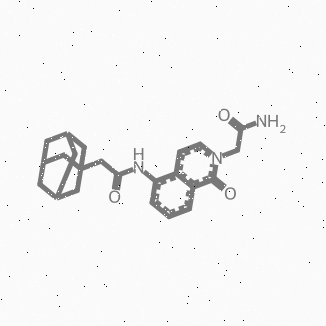 NC(=O)Cn1ccc2c(NC(=O)CC34CC5CC(CC(C5)C3)C4)cccc2c1=O